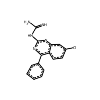 N=C(N)Nc1nc(-c2ccccc2)c2ccc(Cl)cc2n1